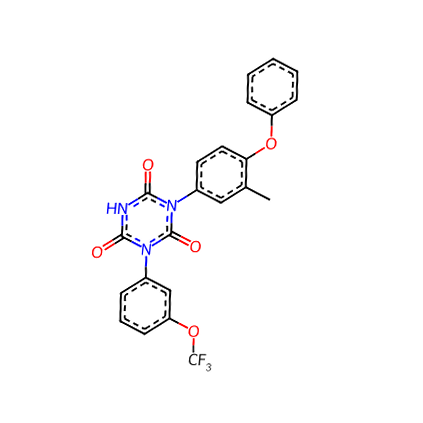 Cc1cc(-n2c(=O)[nH]c(=O)n(-c3cccc(OC(F)(F)F)c3)c2=O)ccc1Oc1ccccc1